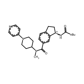 CCCCC(=O)N[C@@H]1CCc2ccc(C(=O)N(C)C3CCN(c4ccncc4)CC3)cc21